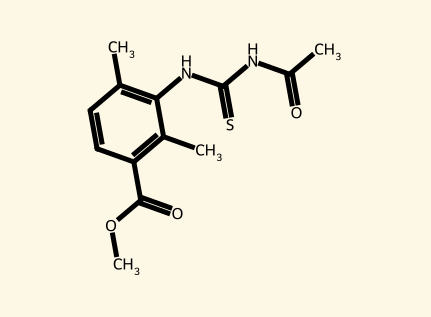 COC(=O)c1ccc(C)c(NC(=S)NC(C)=O)c1C